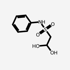 O=S(=O)(CC(O)O)Nc1ccccc1